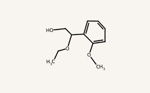 CCOC(CO)c1ccccc1OC